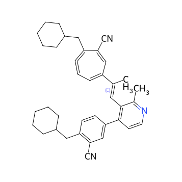 C/C(=C\c1c(-c2ccc(CC3CCCCC3)c(C#N)c2)ccnc1C)C1=CC=C=C(CC2CCCCC2)C(C#N)=C1